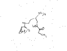 C=CC(=O)NCCC(CNC(=O)C=C)S(=O)(=O)O